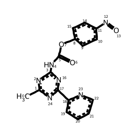 Cc1nc(NC(=O)Oc2ccc(N=O)cc2)nc(-c2ccccn2)n1